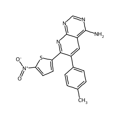 Cc1ccc(-c2cc3c(N)ncnc3nc2-c2ccc([N+](=O)[O-])s2)cc1